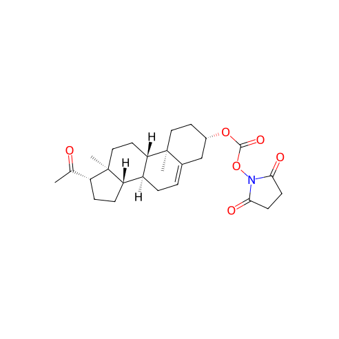 CC(=O)[C@H]1CC[C@H]2[C@@H]3CC=C4C[C@@H](OC(=O)ON5C(=O)CCC5=O)CC[C@]4(C)[C@H]3CC[C@]12C